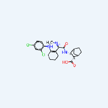 C/N=C(/C(=O)N[C@@H]1C2CCC(C2)[C@@H]1C(=O)O)C1=C(Nc2ccc(Cl)cc2Cl)CCCC1